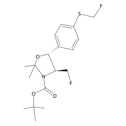 CC(C)(C)OC(=O)N1[C@H](CF)[C@@H](c2ccc(SCF)cc2)OC1(C)C